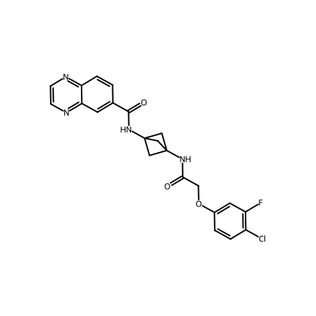 O=C(COc1ccc(Cl)c(F)c1)NC12CC(NC(=O)c3ccc4nccnc4c3)(C1)C2